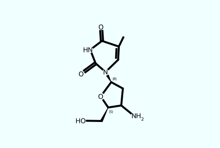 Cc1cn([C@H]2CC(N)[C@@H](CO)O2)c(=O)[nH]c1=O